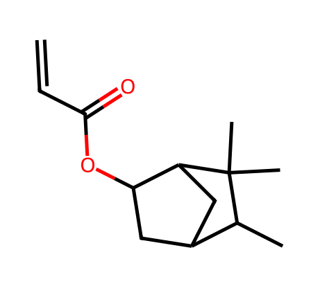 C=CC(=O)OC1CC2CC1C(C)(C)C2C